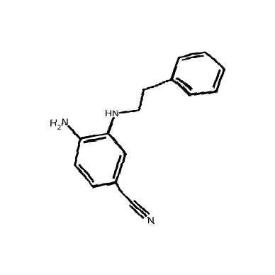 N#Cc1ccc(N)c(NCCc2ccccc2)c1